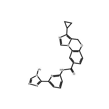 CC(C)n1cnnc1-c1cccc(NC(=O)c2ccc3c(c2)-n2cnc(C4CC4)c2CO3)n1